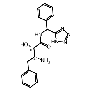 N[C@H](Cc1ccccc1)[C@H](O)C(=O)NC(c1ccccc1)c1nnn[nH]1